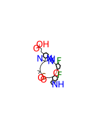 Cn1nc2nc1-c1cc(ccc1F)Oc1c(F)cc3[nH]ccc3c1CCS(=O)(=O)CC(C)(C)CCCC2(C#N)c1cccc(CCC(=O)O)c1